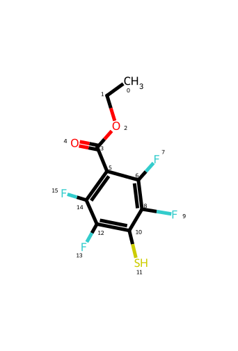 CCOC(=O)c1c(F)c(F)c(S)c(F)c1F